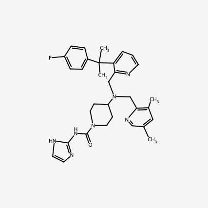 Cc1cnc(CN(Cc2ncccc2C(C)(C)c2ccc(F)cc2)C2CCN(C(=O)Nc3ncc[nH]3)CC2)c(C)c1